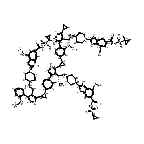 CC(C)Oc1cc(C(=O)NS(=O)(=O)C2CC2)cc2sc(N3CCC(NCc4c(-c5ccc(C6CC6c6onc(-c7ccccc7OC(F)(F)F)c6CNC6CCN(c7nc8c(OC(C)C)cc(C(=O)NS(=O)(=O)C9(C)CC9)cc8s7)CC6)cc5OC(F)(F)F)noc4C4CC4c4ccc(-c5noc(C6CC6)c5CNC5CCN(c6nc7c(F)cc(C(=O)NS(=O)(=O)C8(C)CC8)cc7s6)CC5)c(OC(F)(F)F)c4)CC3)nc12